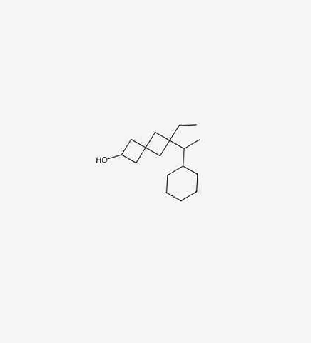 CCC1(C(C)C2CCCCC2)CC2(CC(O)C2)C1